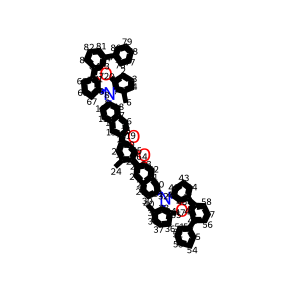 Cc1cccc(C)c1N(c1ccc2cc3c(cc2c1)oc1c3cc(C)c2c3cc4ccc(N(c5c(C)cccc5C)c5cccc6c5oc5c(-c7ccccc7)cccc56)cc4cc3oc12)c1cccc2c1oc1c(-c3ccccc3)cccc12